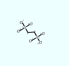 ClS(Cl)(Cl)CCS(Cl)(Cl)Cl